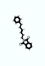 O=C1c2ccccc2C(=O)N1CCC=CCCc1ccccc1